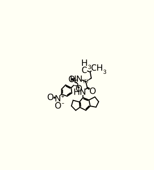 CC(C)C[C@H](NS(=O)(=O)c1ccc([N+](=O)[O-])cc1)C(=O)Nc1c2c(cc3c1CCC3)CCC2